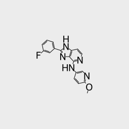 COc1ccc(Nc2nccc3[nH]c(-c4cccc(F)c4)nc23)cn1